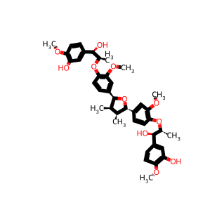 COc1ccc([C@@H](O)[C@@H](C)Oc2ccc([C@H]3O[C@H](c4ccc(O[C@H](C)[C@H](O)c5ccc(OC)c(O)c5)c(OC)c4)[C@H](C)[C@H]3C)cc2OC)cc1O